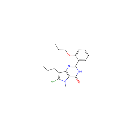 CCCOc1ccccc1-c1nc2c(CCC)c(Cl)n(C)c2c(=O)[nH]1